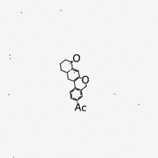 CC(=O)c1ccc2c(c1)COC1=C2CC2CCCC(=O)C2=C1